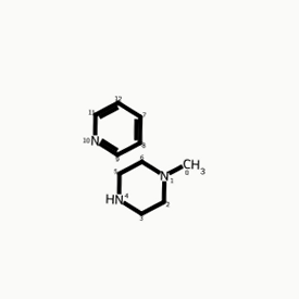 CN1CCNCC1.c1ccncc1